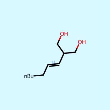 CCCCC/C=C/C(CO)CO